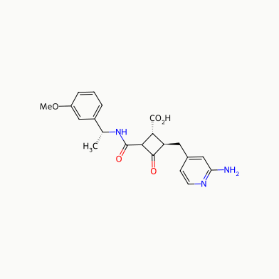 COc1cccc([C@@H](C)NC(=O)C2C(=O)[C@H](Cc3ccnc(N)c3)[C@H]2C(=O)O)c1